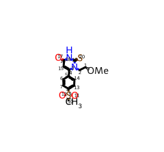 COCCn1c(-c2ccc(S(C)(=O)=O)cc2)cc(=O)[nH]c1=S